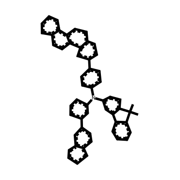 CC1(C)c2ccccc2-c2cc(N(c3ccc(-c4ccc5ccc6c7ccccc7ccc6c5c4)cc3)c3cccc(-c4ccc5ccccc5c4)c3)ccc21